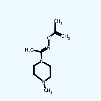 C=C(C)O/N=C(\C)N1CCN(C)CC1